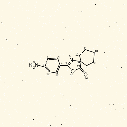 Nc1ccc(C2=NC3(CCCCC3)C(=O)O2)cc1